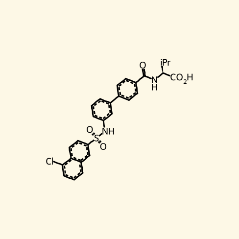 CC(C)[C@H](NC(=O)c1ccc(-c2cccc(NS(=O)(=O)c3ccc4c(Cl)cccc4c3)c2)cc1)C(=O)O